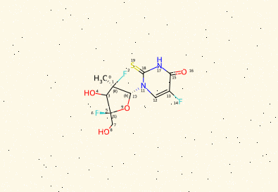 C[C@@]1(F)C(O)[C@@](F)(CO)O[C@H]1n1cc(F)c(=O)[nH]c1=S